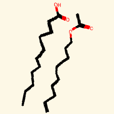 CCCCCCCCCCC(=O)O.CCCCCCCCCOC(C)=O